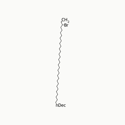 C=CC(Br)CCCCCCCCCCCCCCCCCCCCCCCCCCCCCCCCCCCCCCC